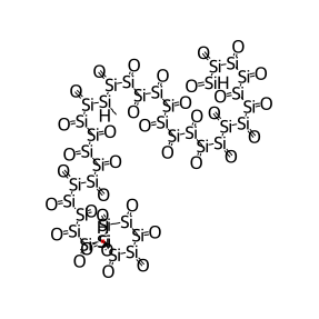 C[SiH]([Si](=O)[Si](=O)[Si](=O)[Si](=O)[Si](=O)[Si](=O)[Si](=O)[Si](=O)[Si](=O)[Si](=O)[Si](=O)[Si](=O)[Si](=O)[Si](=O)[Si](=O)[Si](=O)[Si](=O)[SiH]=O)[Si](=O)[Si](=O)[Si](=O)[Si](=O)[Si](=O)[Si](=O)[Si](=O)[Si](=O)[Si](=O)[Si](=O)[Si](=O)[Si](=O)[Si](=O)[Si](=O)[Si](=O)[Si](=O)[Si](=O)[SiH]=O